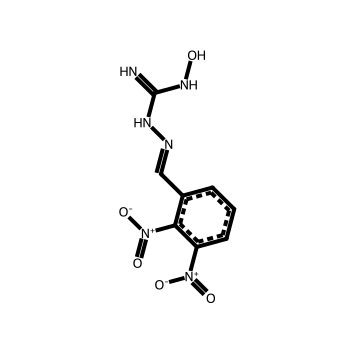 N=C(NO)N/N=C/c1cccc([N+](=O)[O-])c1[N+](=O)[O-]